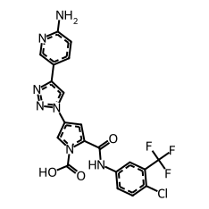 Nc1ccc(-c2cn(-c3cc(C(=O)Nc4ccc(Cl)c(C(F)(F)F)c4)n(C(=O)O)c3)nn2)cn1